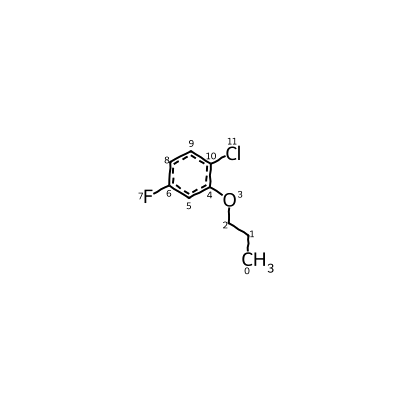 CCCOc1cc(F)ccc1Cl